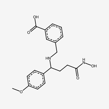 COc1ccc(C(CCC(=O)NO)NCc2cccc(C(=O)O)c2)cc1